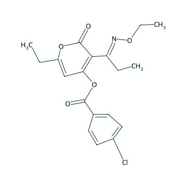 CCON=C(CC)c1c(OC(=O)c2ccc(Cl)cc2)cc(CC)oc1=O